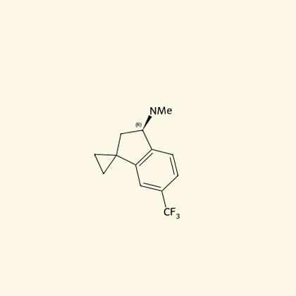 CN[C@@H]1CC2(CC2)c2cc(C(F)(F)F)ccc21